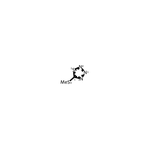 CSc1nnns1